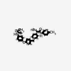 CCCCN(C(=O)Nc1ccc(C)nc1)C1CCN(Cc2ccc(Oc3ccc(NS(C)(=O)=O)cc3)nc2)CC1